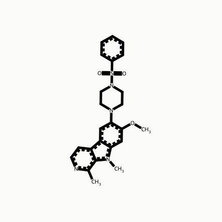 COc1cc2c(cc1N1CCN(S(=O)(=O)c3ccccc3)CC1)c1ccnc(C)c1n2C